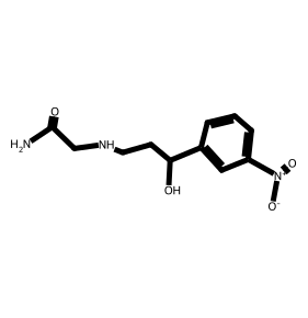 NC(=O)CNCCC(O)c1cccc([N+](=O)[O-])c1